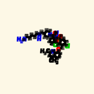 Cc1cc(C)c2cccc(OCc3c(Cl)ccc(S(=O)(=O)NC4(C(=O)N5CCC(CNCCCCCN)CC5)CCCC4)c3Cl)c2n1